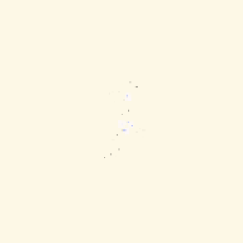 c1ccc(-c2nc(-c3ccc(-c4nc5c6ccccc6sc5c5ccccc45)cc3)nc(-c3cccc(-c4cccc5c4sc4ccccc45)c3)n2)cc1